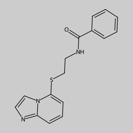 O=C(NCCSc1cccc2nccn12)c1ccccc1